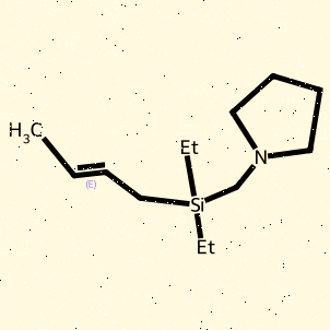 C/C=C/C[Si](CC)(CC)CN1CCCC1